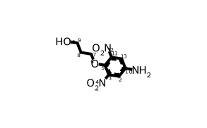 Nc1cc([N+](=O)[O-])c(OCCCO)c([N+](=O)[O-])c1